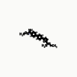 CC/N=C(\N)c1ccc(-c2ccc(-c3ccc(/C(N)=N/OC)cc3)cc2)o1